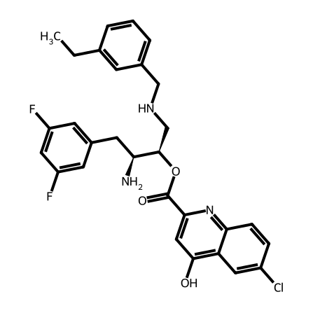 CCc1cccc(CNC[C@@H](OC(=O)c2cc(O)c3cc(Cl)ccc3n2)[C@@H](N)Cc2cc(F)cc(F)c2)c1